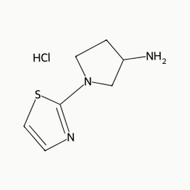 Cl.NC1CCN(c2nccs2)C1